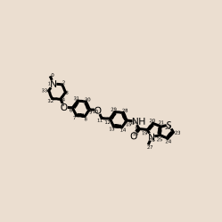 CN1CCC(Oc2ccc(OCc3ccc(NC(=O)c4cc5sccc5n4C)cc3)cc2)CC1